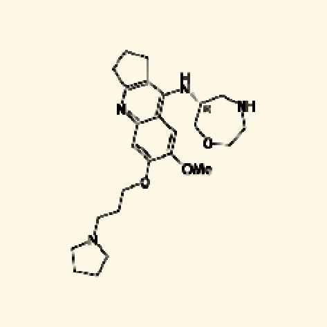 COc1cc2c(N[C@@H]3CNCCOC3)c3c(nc2cc1OCCCN1CCCC1)CCC3